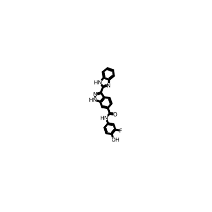 O=C(Nc1ccc(O)c(F)c1)c1ccc2c(-c3nc4ccccc4[nH]3)n[nH]c2c1